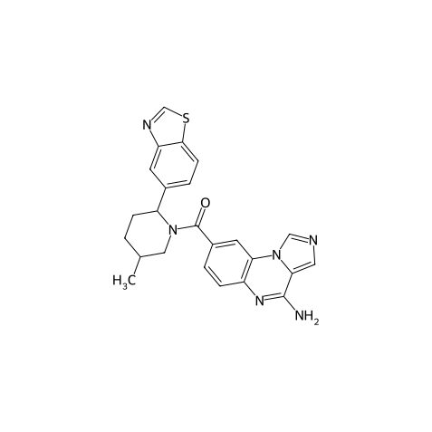 CC1CCC(c2ccc3scnc3c2)N(C(=O)c2ccc3nc(N)c4cncn4c3c2)C1